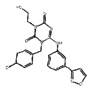 O=c1nc(Nc2cccc(-c3ccon3)c2)n(CC2=CCC(Cl)C=C2)c(=O)n1CCO